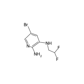 Nc1ncc(Br)cc1NCC(F)F